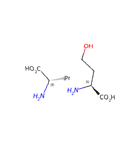 CC(C)[C@H](N)C(=O)O.N[C@@H](CCO)C(=O)O